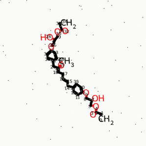 C=CC(=O)OCC(O)COc1ccc(C/C=C/C/C=C(/Cc2ccc(OCC(O)COC(=O)C=C)cc2)OC)cc1